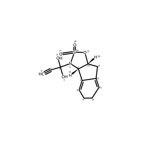 C#CC(O)(O)N1[C@H]2C3=CCCC=C3C[C@H]2OS1(=O)=O